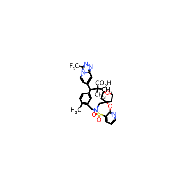 Cc1ccc(C(c2ccn3c(C(F)(F)F)nnc3c2)C(C)(C)C(=O)O)cc1CN1CC2(CCOCC2)Oc2ncccc2S1(=O)=O